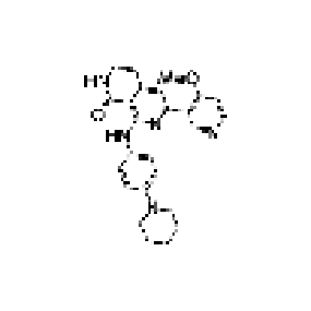 COc1ccncc1-c1cc2cc[nH]c(=O)c2c(Nc2ccc(N3CCCCC3)cc2)n1